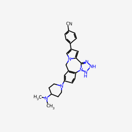 CN(C)C1CCN(c2ccc3c(c2)Cn2cc(-c4ccc(C#N)cc4)cc2C2=NNNN23)CC1